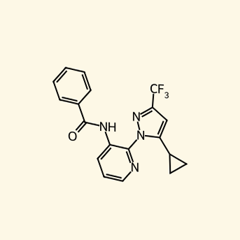 O=C(Nc1cccnc1-n1nc(C(F)(F)F)cc1C1CC1)c1ccccc1